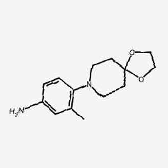 Cc1cc(N)ccc1N1CCC2(CC1)OCCO2